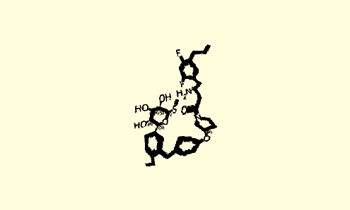 CCCc1cc(C[C@@H](N)CC(=O)N2CC[C@@H](Oc3ccc(Cc4cc([C@@H]5O[C@H](SC)[C@@H](O)[C@H](O)[C@H]5O)ccc4CC)cc3)C2)c(F)cc1F